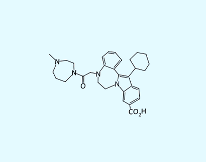 CN1CCCN(C(=O)CN2CCn3c(c(C4CCCCC4)c4ccc(C(=O)O)cc43)-c3ccccc32)CC1